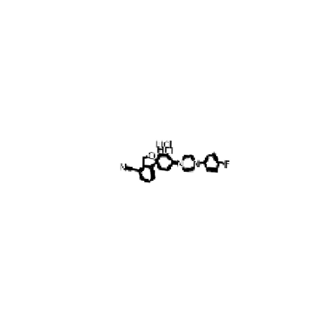 Cl.Cl.N#Cc1cccc2c1COC21CCC(N2CCN(c3ccc(F)cc3)CC2)CC1